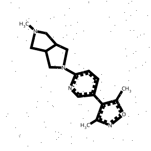 Cc1noc(C)c1-c1ccc(N2CC3CN(C)CC3C2)nc1